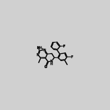 Cc1cc(C2Cc3nc(N)nc(C)c3C(=O)N2)c(-c2ccccc2F)cc1F